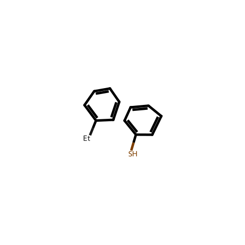 CCc1ccccc1.Sc1ccccc1